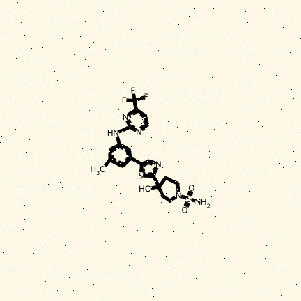 Cc1cc(Nc2nccc(C(F)(F)F)n2)cc(-c2cnc(C3(O)CCN(S(N)(=O)=O)CC3)s2)c1